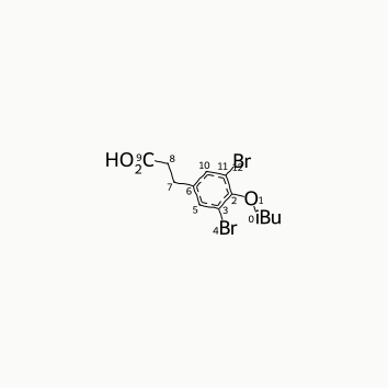 CCC(C)Oc1c(Br)cc(CCC(=O)O)cc1Br